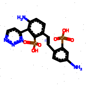 Nc1ccc(/C=C/c2ccc(N)c(-c3ccnnn3)c2S(=O)(=O)O)c(S(=O)(=O)O)c1